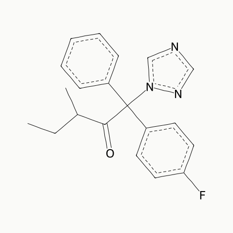 CCC(C)C(=O)C(c1ccccc1)(c1ccc(F)cc1)n1cncn1